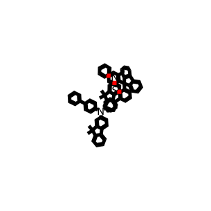 CC1(C)c2ccccc2-c2ccc(N(C3=CC=CCC4=C3C3(c5ccccc5Sc5c(-c6ccc(N(c7ccc(-c8ccccc8)cc7)c7ccc8c(c7)C(C)(C)c7ccccc7-8)cc6)cccc53)c3ccccc34)c3ccccc3)cc21